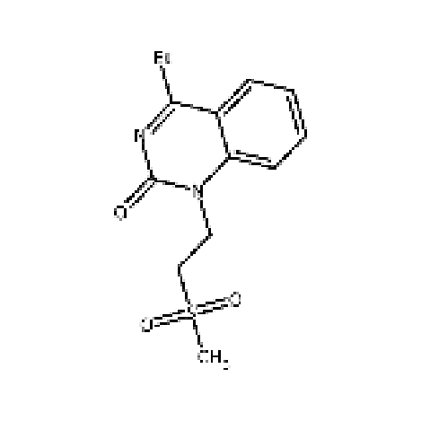 CCc1nc(=O)n(CCS(C)(=O)=O)c2ccccc12